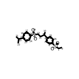 CCS(=O)(=O)c1ccc(C(C)CCS(=O)(=O)c2ccc(C(C)C)cc2)cc1